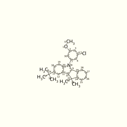 COc1cc(Cl)cc(-n2c3c(c4cc(C(C)(C)C)ccc42)C(C)(C)c2ccccc2-3)c1